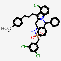 O=C(O)c1ccc(CCCc2c(CCNS(=O)(=O)Cc3cc(Cl)cc(Cl)c3)n(C(c3ccccc3)c3ccccc3)c3cccc(Cl)c23)cc1